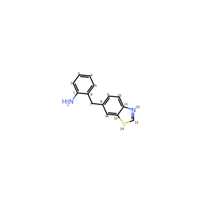 Nc1ccccc1Cc1ccc2ncsc2c1